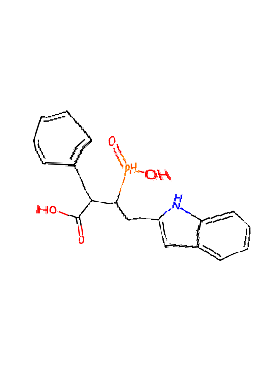 O=C(O)C(c1ccccc1)C(Cc1cc2ccccc2[nH]1)[PH](=O)O